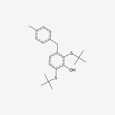 Cc1ccc(Cc2ccc(SC(C)(C)C)c(O)c2SC(C)(C)C)cc1